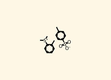 Cc1ccc(S(=O)(=O)[O-])cc1.Cc1ccccc1[S+](C)C